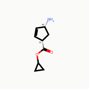 N[C@H]1C=C[C@@H](C(=O)OC2CC2)C1